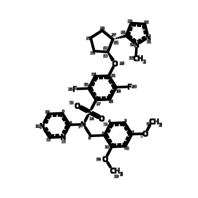 COc1ccc(CN(c2ccncn2)S(=O)(=O)c2cc(F)c(O[C@H]3CCC[C@@H]3c3ccnn3C)cc2F)c(OC)c1